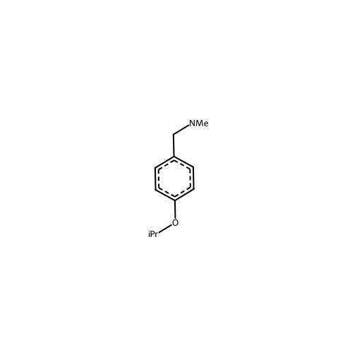 CNCc1ccc(OC(C)C)cc1